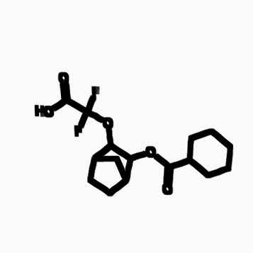 O=C(OC1C2CCC(C2)C1OC(F)(F)C(=O)O)C1CCCCC1